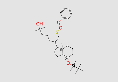 CC(C)(O)CCCC(CSOOc1ccccc1)C1CCC2[C@@H](O[Si](C)(C)C(C)(C)C)CCC[C@]12C